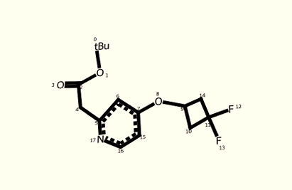 CC(C)(C)OC(=O)Cc1cc(OC2CC(F)(F)C2)ccn1